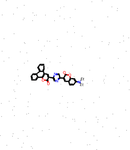 CCN(CC)c1ccc2cc(-c3cnc(-c4cc5c6ccccc6c6ccccc6c5oc4=O)cn3)c(=O)oc2c1